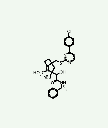 CCCCC(CC1(CSc2nccc(-c3ccc(Cl)cc3)n2)CCC1)(NC(=O)O)C(O)C(=O)N[C@H](C)c1ccccc1